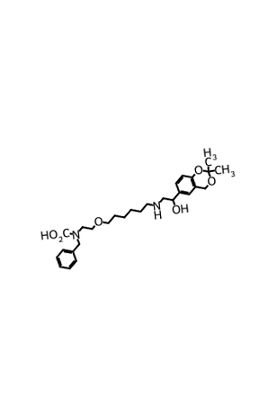 CC1(C)OCc2cc(C(O)CNCCCCCCOCCN(Cc3ccccc3)C(=O)O)ccc2O1